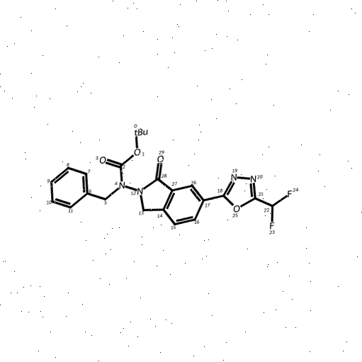 CC(C)(C)OC(=O)N(Cc1ccccc1)N1Cc2ccc(-c3nnc(C(F)F)o3)cc2C1=O